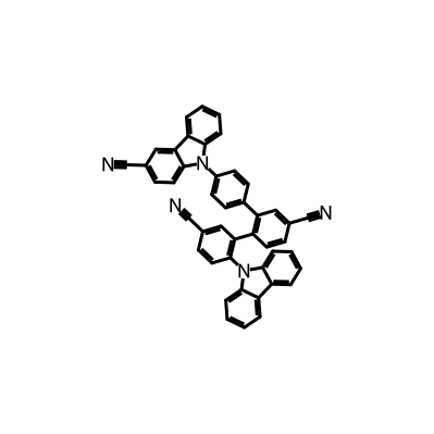 N#Cc1ccc(-c2cc(C#N)ccc2-n2c3ccccc3c3ccccc32)c(-c2ccc(-n3c4ccccc4c4cc(C#N)ccc43)cc2)c1